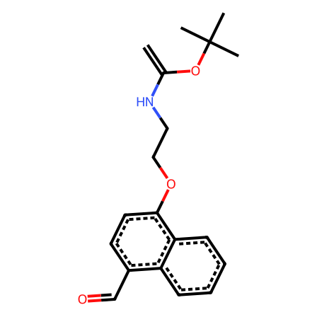 C=C(NCCOc1ccc(C=O)c2ccccc12)OC(C)(C)C